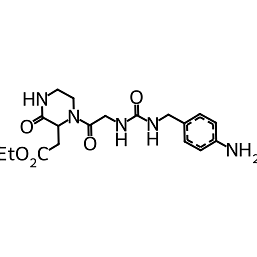 CCOC(=O)CC1C(=O)NCCN1C(=O)CNC(=O)NCc1ccc(N)cc1